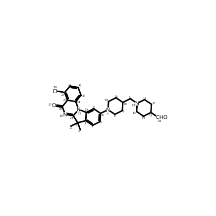 CC1(C)c2ccc(N3CCC(CN4CCC(C=O)CC4)CC3)cc2-n2c1nc(=O)c1c(Cl)cccc12